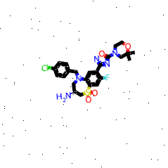 CC1(C)CN(c2nc(-c3cc4c(cc3F)S(=O)(=O)C[C@H](N)CN4Cc3ccc(Cl)cc3)no2)CCO1